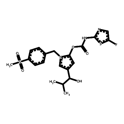 CC(C)C(O)c1cc(OC(=O)Nc2ncc(F)s2)n(Cc2ccc(S(C)(=O)=O)cc2)c1